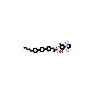 CCCCCC1CCC(C2CCC(c3ccc(/C=C(\C)C(O)Oc4ccc(N5C(=O)C=CC5=O)cc4C)cc3)CC2)CC1